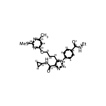 CCNC(=O)c1ccc(-n2nnc(C(=O)NC3CC3)c2CCCOc2cc(C)nc(SC)n2)cc1